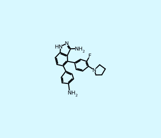 Nc1ccc(-c2ccc3[nH]nc(N)c3c2-c2ccc(N3CCCC3)c(F)c2)cc1